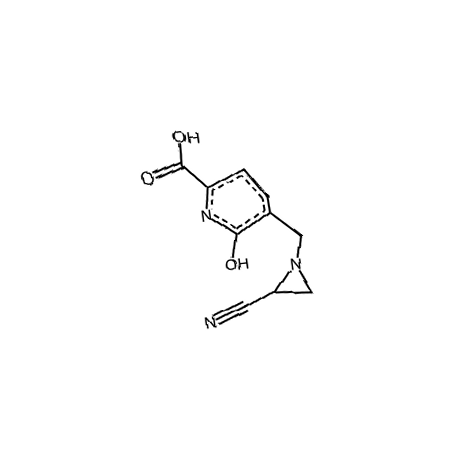 N#CC1CN1Cc1ccc(C(=O)O)nc1O